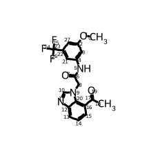 COc1cc(NC(=O)Cn2cnc3cccc(C(C)=O)c32)cc(C(F)(F)F)c1